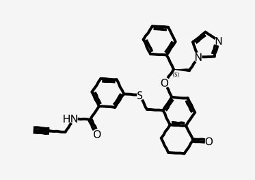 C#CCNC(=O)c1cccc(SCc2c(O[C@H](Cn3ccnc3)c3ccccc3)ccc3c2CCCC3=O)c1